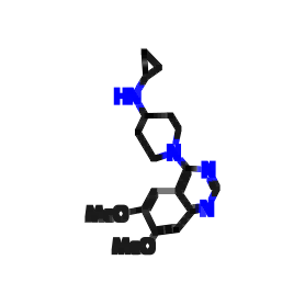 COc1cc2ncnc(N3CCC(NC4CC4)CC3)c2cc1OC